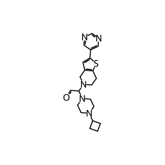 O=CC(N1CCN(C2CCC2)CC1)N1CCc2sc(-c3cncnc3)cc2C1